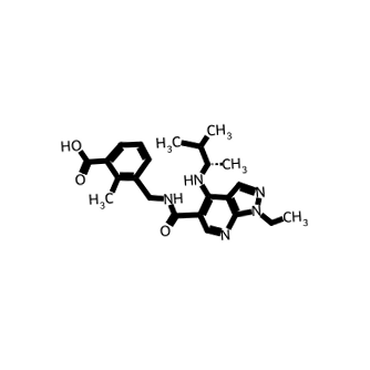 CCn1ncc2c(N[C@@H](C)C(C)C)c(C(=O)NCc3cccc(C(=O)O)c3C)cnc21